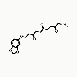 CCC(=O)CCC(=O)CCC(=O)CCOc1ccc2c(c1)OCO2